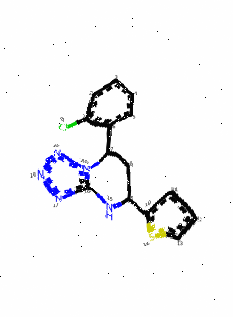 Clc1ccccc1C1CC(c2cccs2)Nc2nnnn21